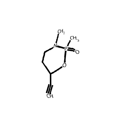 C#CC1CCN(C)P(C)(=O)O1